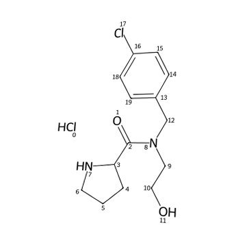 Cl.O=C(C1CCCN1)N(CCO)Cc1ccc(Cl)cc1